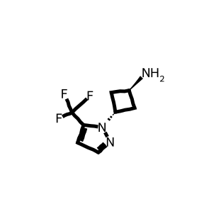 N[C@H]1C[C@H](n2nccc2C(F)(F)F)C1